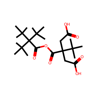 CC(C)(C)C(CC(=O)O)(CC(=O)O)C(=O)OC(=O)C(C(C)(C)C)(C(C)(C)C)C(C)(C)C